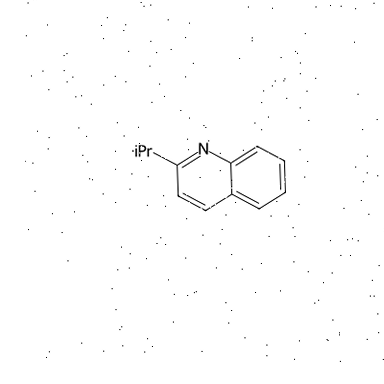 C[C](C)c1ccc2ccccc2n1